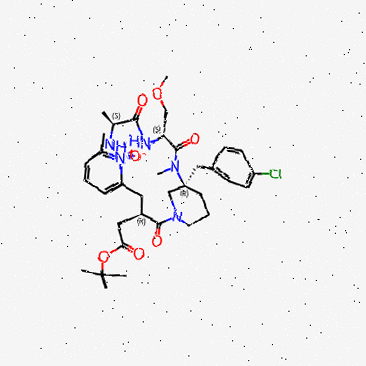 COC[C@H](NC(=O)[C@H](C)N)C(=O)N(C)[C@@]1(Cc2ccc(Cl)cc2)CCCN(C(=O)[C@@H](CC(=O)OC(C)(C)C)Cc2cccc(C)[n+]2[O-])C1